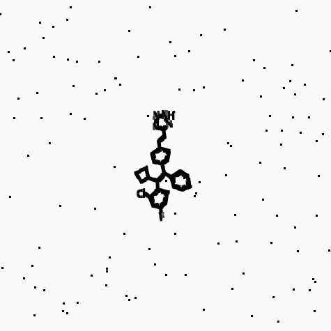 Fc1ccc(/C(=C(\c2ccccc2)c2ccc(/C=C/c3nn[nH]n3)cc2)C2CCC2)c(Cl)c1